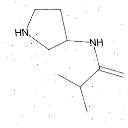 C=C(NC1CCNC1)C(C)C